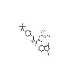 CCOC(CN(Cc1cccc2c(I)cn(C)c12)C(=O)[C@@H](C)Cc1ccc(OC(C)(C)C)cc1)OCC